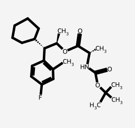 Cc1cc(F)ccc1[C@H](C1CCCCC1)[C@@H](C)OC(=O)[C@H](C)NC(=O)OC(C)(C)C